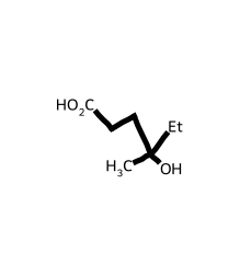 CCC(C)(O)CCC(=O)O